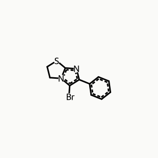 Brc1c(-c2ccccc2)nc2n1CCS2